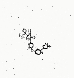 Cc1nc(-n2nc(C3(C(F)(F)F)CCC3)[nH]c2=O)ccc1Oc1ccnc(-c2cnn(C)c2)c1